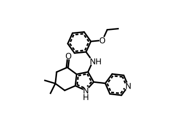 CCOc1ccccc1Nc1c(-c2ccncc2)[nH]c2c1C(=O)CC(C)(C)C2